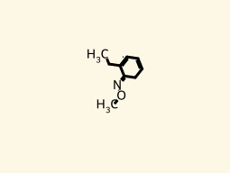 CCC1=[C]C=CCC1=NOC